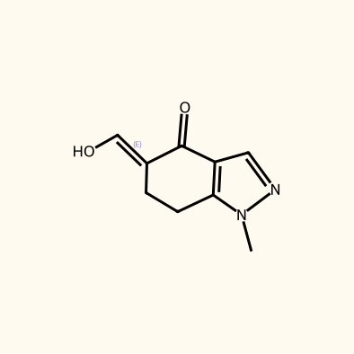 Cn1ncc2c1CC/C(=C\O)C2=O